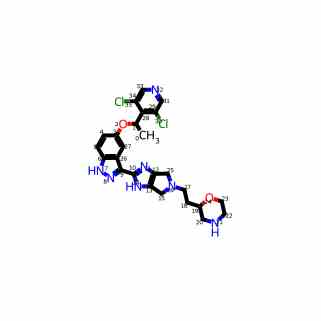 CC(Oc1ccc2[nH]nc(-c3nc4c([nH]3)CN(CCC3CNCCO3)C4)c2c1)c1c(Cl)cncc1Cl